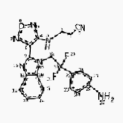 N#CCCNc1nonc1-c1nc2ccccc2n1CC(F)(F)c1ccc(N)cc1